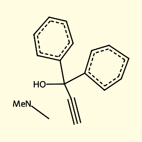 C#CC(O)(c1ccccc1)c1ccccc1.CNC